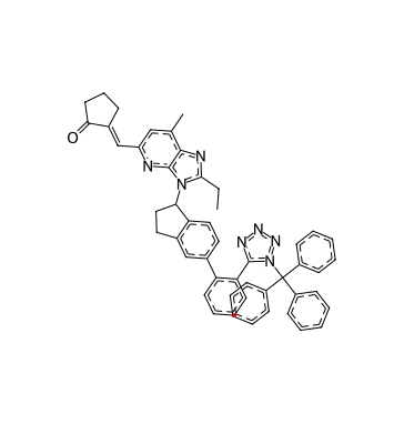 CCc1nc2c(C)cc(/C=C3\CCCC3=O)nc2n1C1CCc2cc(-c3ccccc3-c3nnnn3C(c3ccccc3)(c3ccccc3)c3ccccc3)ccc21